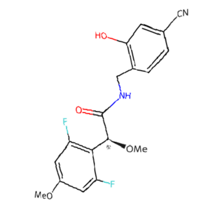 COc1cc(F)c([C@H](OC)C(=O)NCc2ccc(C#N)cc2O)c(F)c1